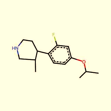 CC(C)Oc1ccc(C2CCNCC2C)c(F)c1